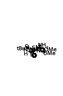 COc1cc2nc(N(C)CC3(c4ccccn4)CCN(C(=O)NC(C)(C)C)CC3)nc(N)c2cc1OC